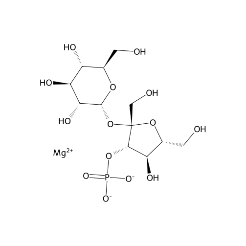 O=P([O-])([O-])O[C@H]1[C@H](O)[C@@H](CO)O[C@@]1(CO)O[C@H]1O[C@H](CO)[C@@H](O)[C@H](O)[C@H]1O.[Mg+2]